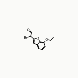 CCOc1cccc2cc(C(Br)C=O)oc12